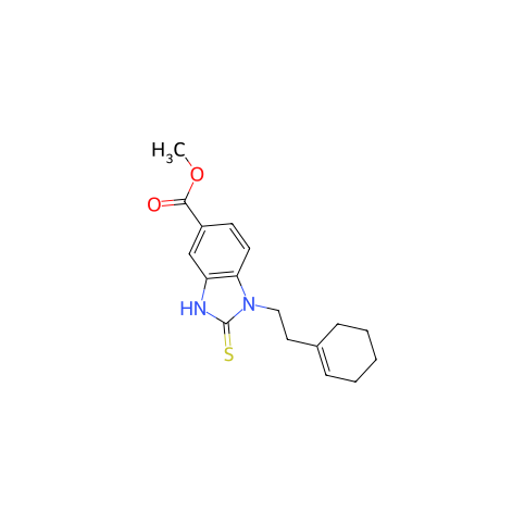 COC(=O)c1ccc2c(c1)[nH]c(=S)n2CCC1=CCCCC1